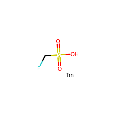 O=S(=O)(O)CF.[Tm]